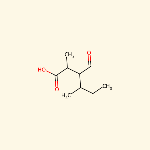 CCC(C)C(C=O)C(C)C(=O)O